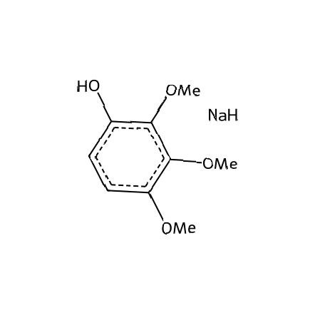 COc1ccc(O)c(OC)c1OC.[NaH]